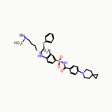 CC(C)(C)N(CCCC[C@H](CSc1ccccc1)Nc1ccc(S(=O)(=O)NC(=O)c2ccc(N3CCC4(CC3)CC4)cc2)cc1[N+](=O)[O-])C(=O)O